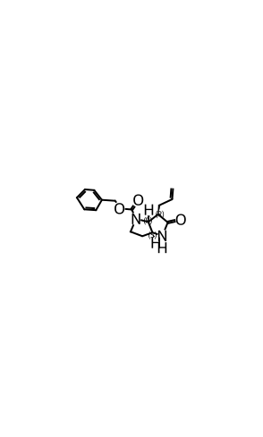 C=CC[C@H]1C(=O)N[C@H]2CCN(C(=O)OCc3ccccc3)[C@@H]21